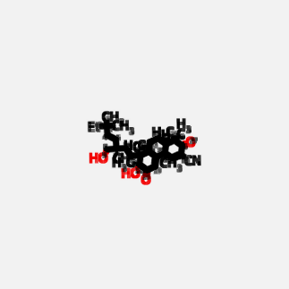 CCC(C)(C)CC[C@](C)(CO)CC[C@]1(C)[C@](C)(O)C(=O)C=C2[C@@]3(C)C=C(C#N)C(=O)C(C)(C)[C@@H]3CC[C@]21C